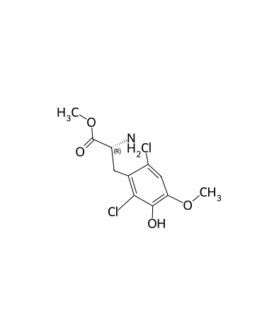 COC(=O)[C@H](N)Cc1c(Cl)cc(OC)c(O)c1Cl